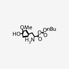 CCCCOC(=O)OC(=O)[C@H](N)Cc1ccc(O)c(OC)c1